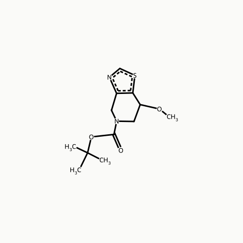 COC1CN(C(=O)OC(C)(C)C)Cc2ncsc21